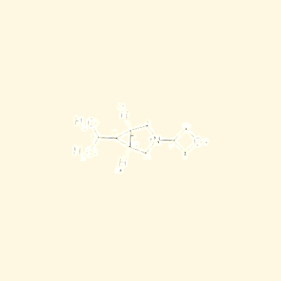 CC(C)C1[C@H]2CN(C3COC3)C[C@@H]12